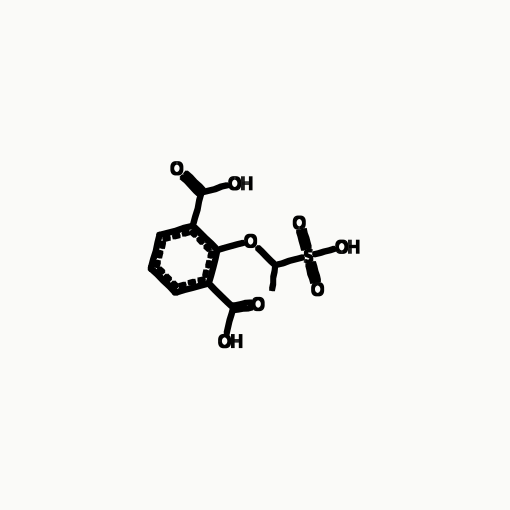 CC(Oc1c(C(=O)O)cccc1C(=O)O)S(=O)(=O)O